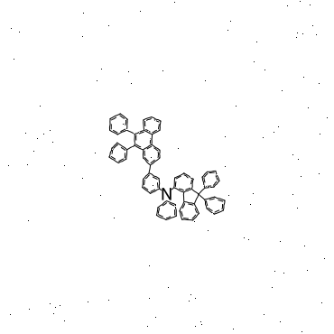 c1ccc(-c2c(-c3ccccc3)c3cc(-c4cccc(N(c5ccccc5)c5cccc6c5-c5ccccc5C6(c5ccccc5)c5ccccc5)c4)ccc3c3ccccc23)cc1